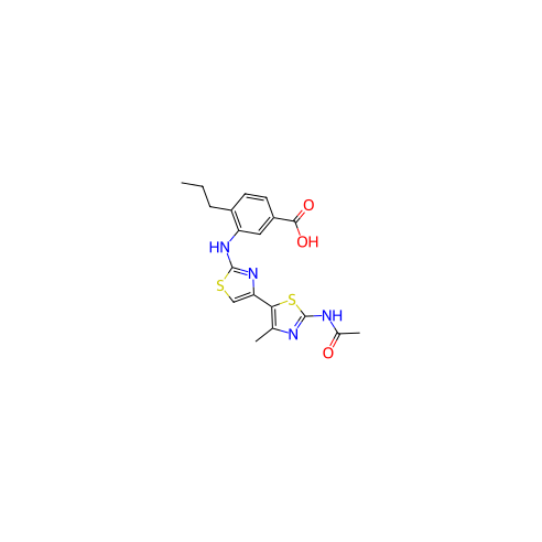 CCCc1ccc(C(=O)O)cc1Nc1nc(-c2sc(NC(C)=O)nc2C)cs1